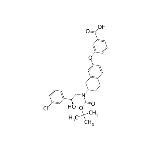 CC(C)(C)OC(=O)N(C[C@@H](O)c1cccc(Cl)c1)[C@H]1CCc2ccc(Oc3cccc(C(=O)O)c3)cc2C1